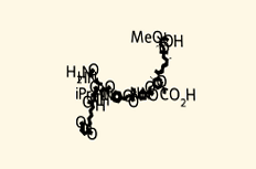 CO[C@@H]([C@@H](C)O)[C@@H](C)OC(C)(C)C[C@H](C)/C=C/C=C(\C)[C@H]1O[C@@H](CC(=O)O)C[C@@H](OC(=O)N2CCC(N(C)C(=O)OCc3ccc(NC(=O)[C@H](CCCNC(N)=O)NC(=O)[C@H](NC(=O)CCCCCN4C(=O)C=CC4=O)C(C)C)cc3)C2)[C@@H]1C